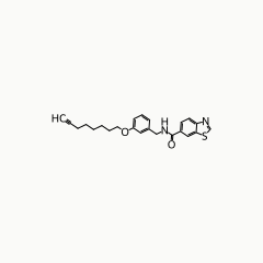 C#CCCCCCCOc1cccc(CNC(=O)c2ccc3ncsc3c2)c1